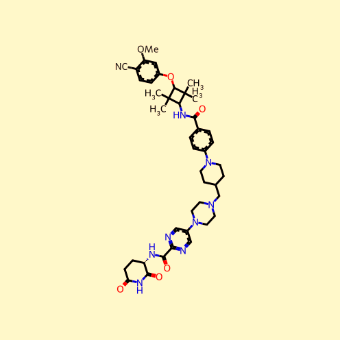 COc1cc(OC2C(C)(C)C(NC(=O)c3ccc(N4CCC(CN5CCN(c6cnc(C(=O)N[C@H]7CCC(=O)NC7=O)nc6)CC5)CC4)cc3)C2(C)C)ccc1C#N